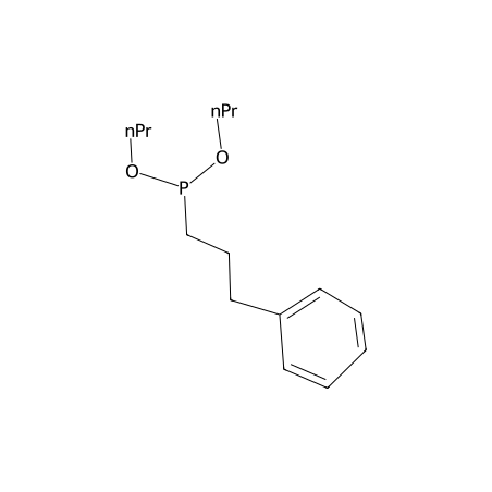 CCCOP(CCCc1ccccc1)OCCC